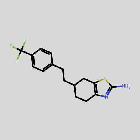 Nc1nc2c(s1)CC(CCc1ccc(C(F)(F)F)cc1)CC2